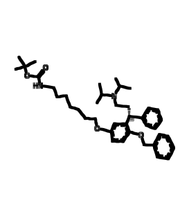 CC(C)N(CC[C@H](c1ccccc1)c1cc(OCCCCCCCNC(=O)OC(C)(C)C)ccc1OCc1ccccc1)C(C)C